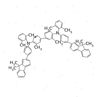 Cc1cc(-c2ccc(N(c3ccc(-c4ccc5c(c4)C(C)(C)c4ccccc4-5)cc3)c3c(C)cccc3C)c(C)c2)ccc1N(c1ccc(-c2ccc3c(c2)C(C)(C)c2ccccc2-3)cc1)c1c(C)cccc1C